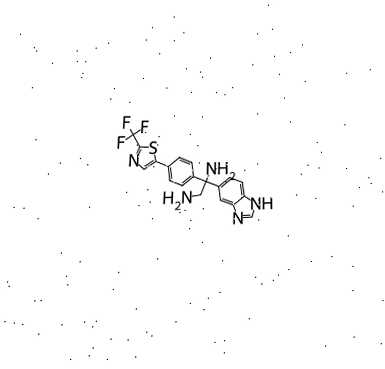 NCC(N)(c1ccc(-c2cnc(C(F)(F)F)s2)cc1)c1ccc2[nH]cnc2c1